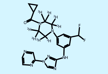 [2H]C1([2H])N(C(=O)C2CC2)C([2H])([2H])C([2H])([2H])N(c2cc(Nc3ncn(-c4cnccn4)n3)cc(C(F)F)c2)C1([2H])[2H]